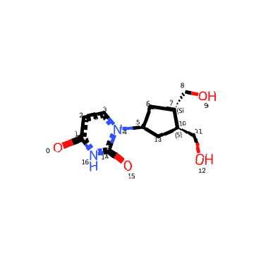 O=c1ccn(C2C[C@H](CO)[C@@H](CO)C2)c(=O)[nH]1